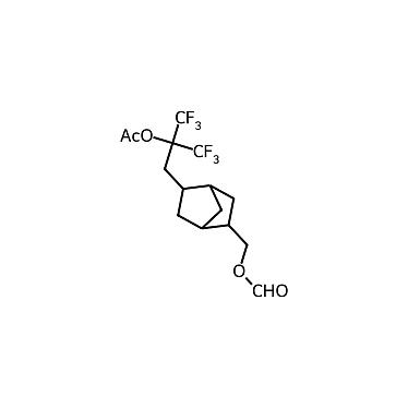 CC(=O)OC(CC1CC2CC1CC2COC=O)(C(F)(F)F)C(F)(F)F